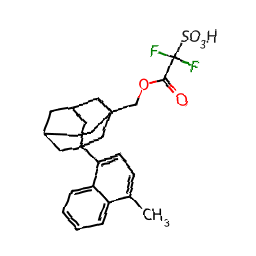 Cc1ccc(C23CC4CC(CC(COC(=O)C(F)(F)S(=O)(=O)O)(C4)C2)C3)c2ccccc12